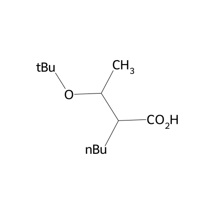 CCCCC(C(=O)O)C(C)OC(C)(C)C